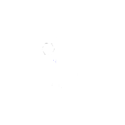 CCCCN(CCCC)c1cccc(Br)c1